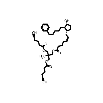 C#CCCCC(=O)OCC(C)(COC(=O)CCCC#C)COC(=O)CCC/C=C\C[C@H]1CC[C@@H](O)[C@@H]1CCCCCc1ccccc1